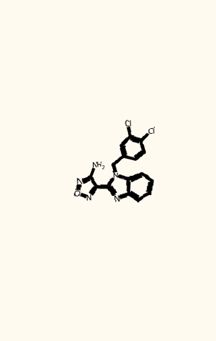 Nc1nonc1-c1nc2ccccc2n1Cc1ccc(Cl)c(Cl)c1